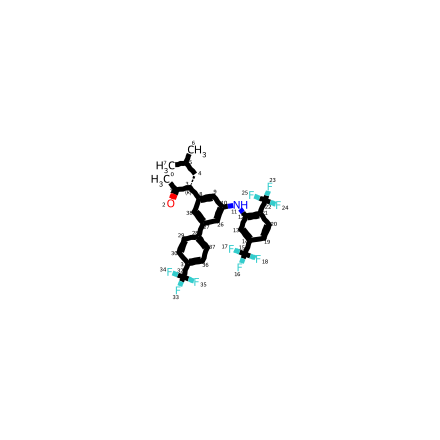 CC(=O)[C@H](CC(C)C)c1cc(Nc2cc(C(F)(F)F)ccc2C(F)(F)F)cc(-c2ccc(C(F)(F)F)cc2)c1